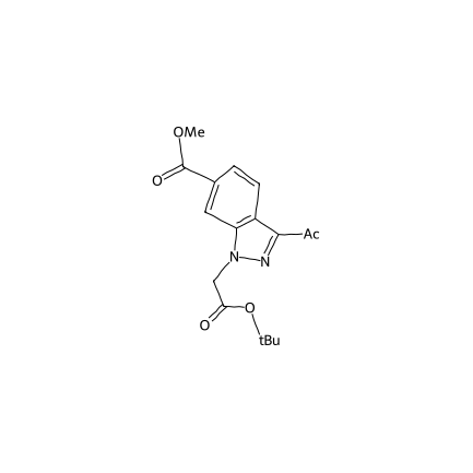 COC(=O)c1ccc2c(C(C)=O)nn(CC(=O)OC(C)(C)C)c2c1